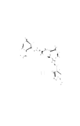 CCn1cc(CNn2ccc(C)c(CC(=O)NCc3cc(Cl)ccc3CN)c2=O)c(C)n1